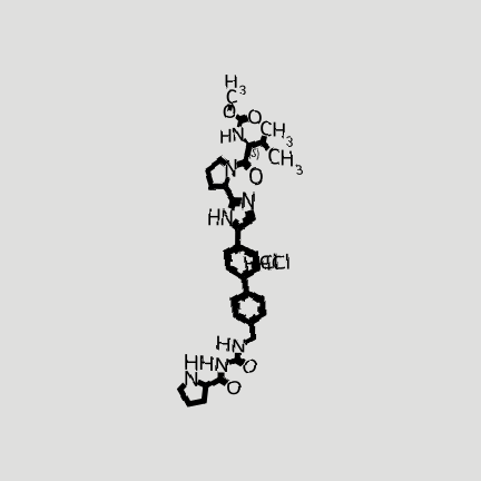 COC(=O)N[C@H](C(=O)N1CCCC1c1ncc(-c2ccc(-c3ccc(CNC(=O)NC(=O)C4CCCN4)cc3)cc2)[nH]1)C(C)C.Cl.Cl